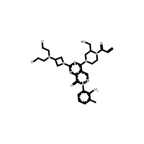 C=CC(=O)N1CCN(c2nc(N3CC(N(CCCl)CCCl)C3)nc3c(=O)n(-c4cccc(C)c4C(F)(F)F)ncc23)CC1CC#N